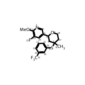 COc1ncc(C2CC(C)(Sc3cccc(C(F)(F)F)c3)CCO2)cc1F